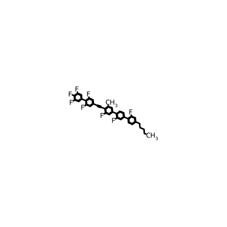 CCCCCc1ccc(-c2ccc(-c3cc(C)c(C#Cc4cc(F)c(-c5cc(F)c(F)c(F)c5)c(F)c4)c(F)c3)c(F)c2)c(F)c1